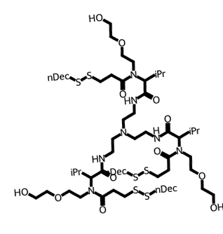 CCCCCCCCCCSSCCC(=O)N(CCOCCO)C(C(=O)NCCN(CCNC(=O)C(C(C)C)N(CCOCCO)C(=O)CCSSCCCCCCCCCC)CCNC(=O)C(C(C)C)N(CCOCCO)C(=O)CCSSCCCCCCCCCC)C(C)C